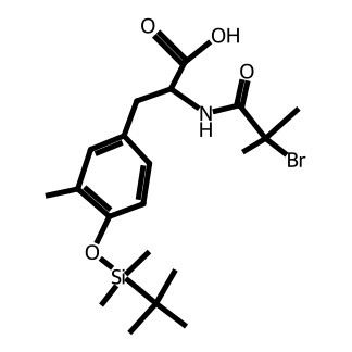 Cc1cc(CC(NC(=O)C(C)(C)Br)C(=O)O)ccc1O[Si](C)(C)C(C)(C)C